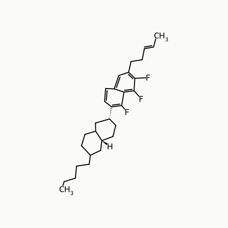 C/C=C/CCc1cc2ccc([C@@H]3CC[C@@H]4CC(CCCCC)CCC4C3)c(F)c2c(F)c1F